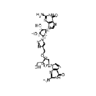 Nc1nc2c(ncn2[C@@H]2O[C@H](n3cc(CO[C@H]4C[C@H](n5cnc6c(=O)[nH]c(N)nc65)O[C@H]4CO)nn3)[C@@H](O)[C@@H]2O)c(=O)[nH]1